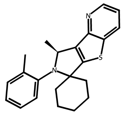 Cc1ccccc1N1[C@@H](C)c2c(sc3cccnc23)C12CCCCC2